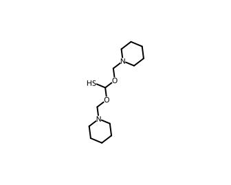 SC(OCN1CCCCC1)OCN1CCCCC1